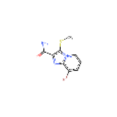 NC(=O)c1nc2c(Br)cccn2c1SC(F)(F)F